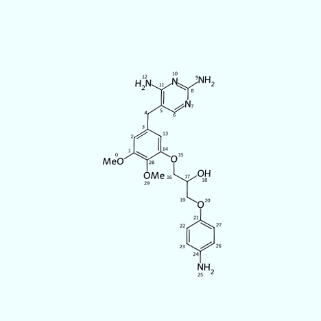 COc1cc(Cc2cnc(N)nc2N)cc(OCC(O)COc2ccc(N)cc2)c1OC